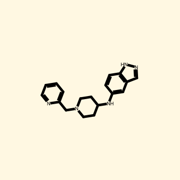 c1ccc(CN2CCC(Nc3ccc4[nH]ncc4c3)CC2)nc1